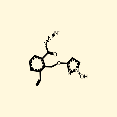 C=Cc1cccc(C(=O)N=[N+]=[N-])c1COc1ccn(O)n1